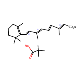 CC(C)(C)C(=O)O.CC1=C(/C=C/C(C)=C/C=C/C(C)=C/C(=O)O)C(C)(C)CCC1